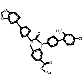 Cc1cc(Cl)ccc1-c1ccc(NC(=O)[C@H](Cc2ccc(C(=O)OC(C)(C)C)cc2)c2ccc(-c3ccc4c(c3)OCO4)cc2)cc1